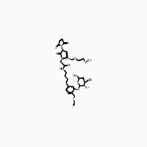 CC1CC(O)[C@@H](O)C(Oc2cc(CCCCNC(=O)CN3C(=O)[C@@H](N4C(=O)C=CC4=O)C[C@H]3COCCSO)ccc2COC=O)O1